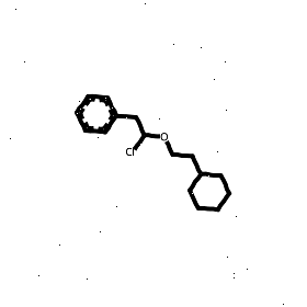 ClC(Cc1ccccc1)OCCC1CCCCC1